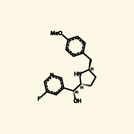 COc1ccc(C[C@H]2CC[C@H]([C@H](O)c3cncc(F)c3)N2)cc1